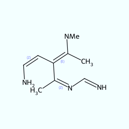 CN/C(C)=C(\C=C/N)C(/C)=N\C=N